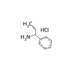 C=CC(N)c1ccccc1.Cl